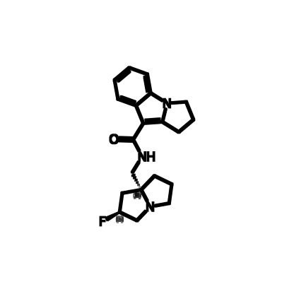 O=C(NC[C@]12CCCN1C[C@@H](F)C2)c1c2n(c3ccccc13)CCC2